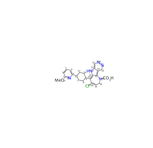 COc1cccc(C2CCC(C3=c4[nH]c5c(c4N(C(=O)O)CC=C3Cl)CN=NC=5)CC2)n1